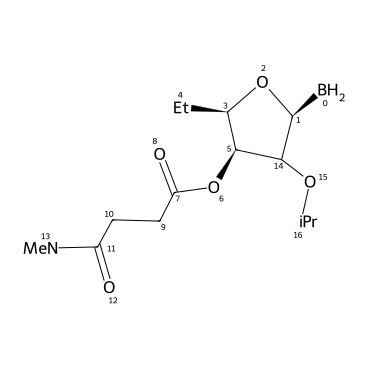 B[C@@H]1O[C@H](CC)[C@H](OC(=O)CCC(=O)NC)C1OC(C)C